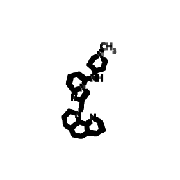 CN1CCC(Nc2cccc3nc(CN4CCCC5CCc6cccnc6C54)cn23)CC1